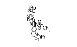 CCC(C)OC(=O)c1nnc(N=Nc2cc3c(cc2NS(=O)(=O)CC(F)(F)F)N(CC(C)C)C(CC)CC3)s1